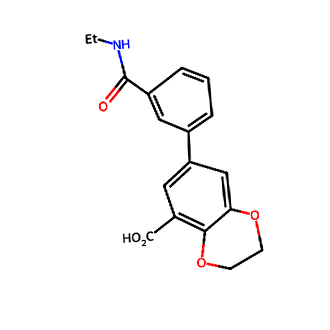 CCNC(=O)c1cccc(-c2cc3c(c(C(=O)O)c2)OCCO3)c1